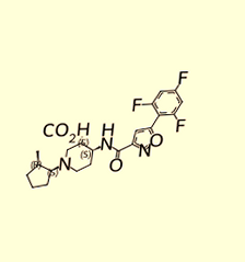 C[C@@H]1CCC[C@@H]1N1CC[C@H](NC(=O)c2cc(-c3c(F)cc(F)cc3F)on2)[C@@H](C(=O)O)C1